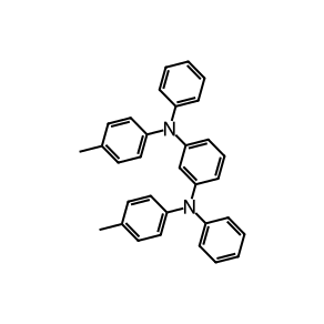 Cc1ccc(N(c2ccccc2)c2cccc(N(c3ccccc3)c3ccc(C)cc3)c2)cc1